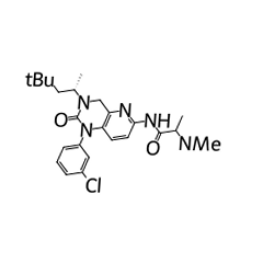 CNC(C)C(=O)Nc1ccc2c(n1)CN([C@@H](C)CC(C)(C)C)C(=O)N2c1cccc(Cl)c1